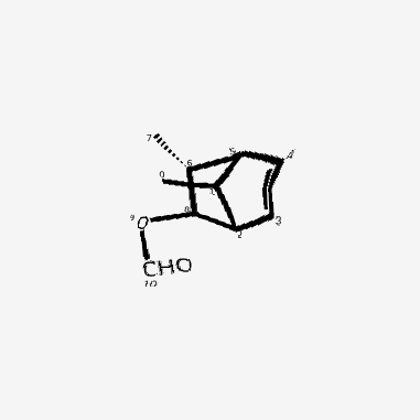 CC1C2C=CC1[C@@H](C)C2OC=O